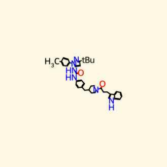 Cc1ccc(-n2nc(C(C)(C)C)cc2NC(=O)Nc2ccc(CC3CCN(C(=O)CCc4c[nH]c5ccccc45)CC3)cc2)cc1